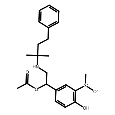 CC(=O)OC(CNC(C)(C)CCc1ccccc1)c1ccc(O)c([S+](C)[O-])c1